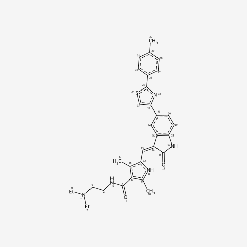 CCN(CC)CCNC(=O)c1c(C)[nH]c(/C=C2\C(=O)Nc3ccc(-c4csc(-c5ccc(C)cc5)n4)cc32)c1C